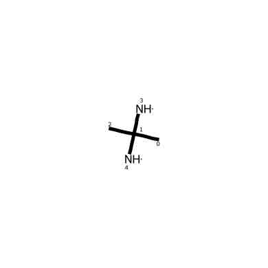 CC(C)([NH])[NH]